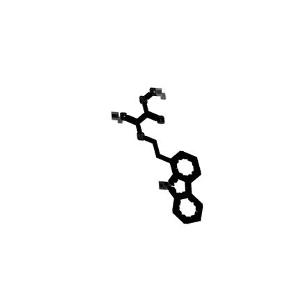 C=C(OCCc1cccc2c1[nH]c1ccccc12)C(=O)OC